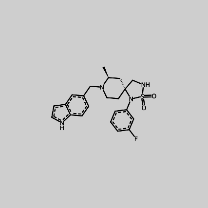 C[C@H]1C[C@]2(CCN1Cc1ccc3[nH]ccc3c1)CNS(=O)(=O)N2c1cccc(F)c1